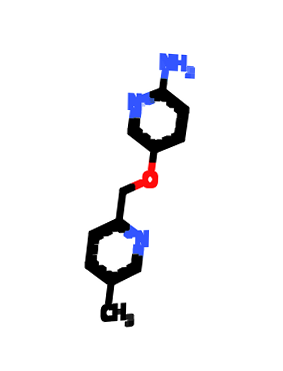 Cc1ccc(COc2ccc(N)nc2)nc1